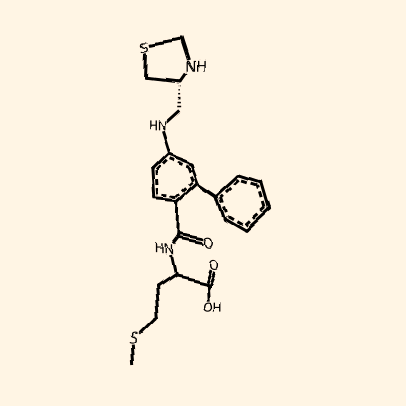 CSCCC(NC(=O)c1ccc(NC[C@@H]2CSCN2)cc1-c1ccccc1)C(=O)O